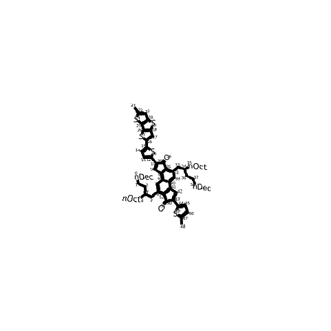 CCCCCCCCCCCCC(CCCCCCCC)Cc1cc2c3cc(-c4ccc(-c5cc6sc7cc(C)sc7c6s5)s4)c(=O)c3c(CC(CCCCCCCC)CCCCCCCCCCCC)cc2c2cc(-c3ccc(C)s3)c(=O)c12